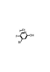 CCI.Oc1cc(Br)c(F)cn1